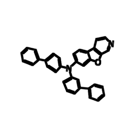 c1ccc(-c2ccc(N(c3cccc(-c4ccccc4)c3)c3ccc4c(c3)oc3cnccc34)cc2)cc1